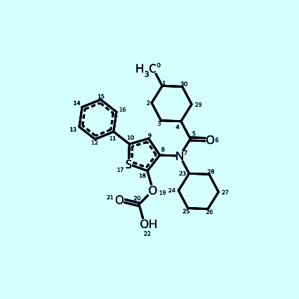 CC1CCC(C(=O)N(c2cc(-c3ccccc3)sc2OC(=O)O)C2CCCCC2)CC1